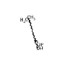 CC(C)CCCCCCCCCCCCCCOCC(O)CO